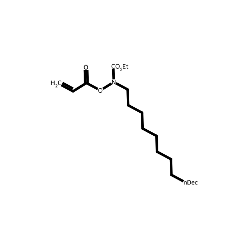 C=CC(=O)ON(CCCCCCCCCCCCCCCCCC)C(=O)OCC